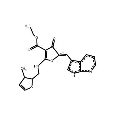 CCOC(=O)C1=C(NCC2SC=CC2C)O/C(=C\c2c[nH]c3ncccc23)C1=O